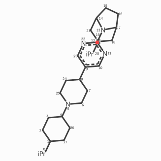 CC(C)C1CCC(N2CCC(c3cnc(N4C5CCC4CN(C(C)C)C5)nc3)CC2)CC1